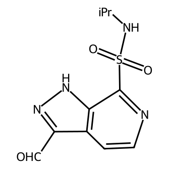 CC(C)NS(=O)(=O)c1nccc2c(C=O)n[nH]c12